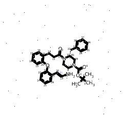 CC(C)(C)OC(=O)N1CCN(C(=O)CCc2ccccc2Oc2ccccc2/C=C/N)[C@H](Cc2ccccc2)C1